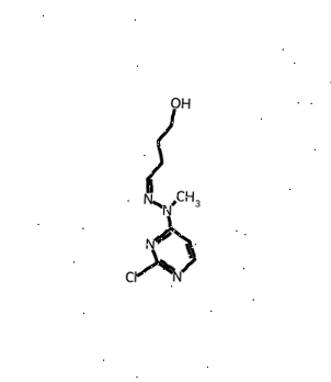 CN(/N=C\CCCO)c1ccnc(Cl)n1